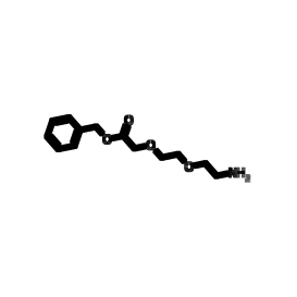 NCCOCCOCC(=O)OCc1ccccc1